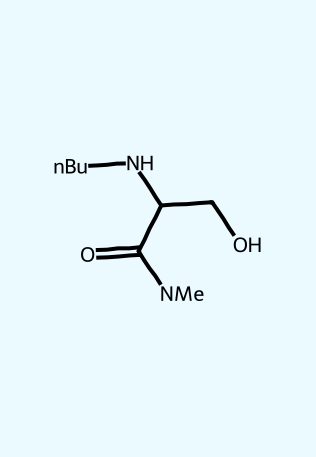 CCCCNC(CO)C(=O)NC